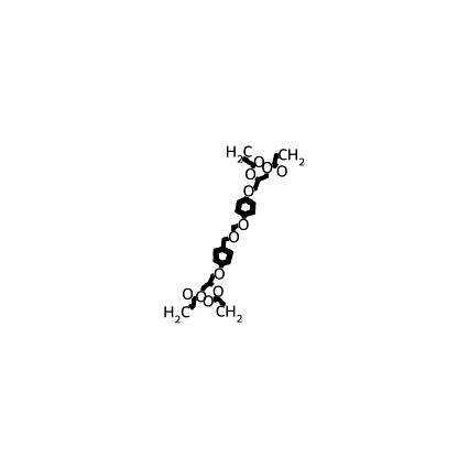 C=CC(=O)OCC(COc1ccc(COCOc2ccc(OCC(COC(=O)C=C)OC(=O)C=C)cc2)cc1)OC(=O)C=C